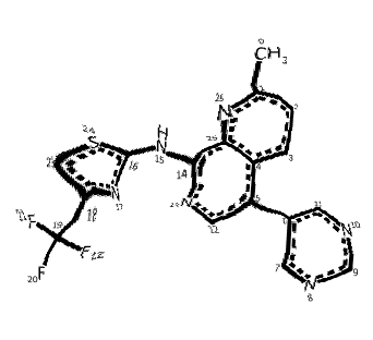 Cc1ccc2c(-c3cncnc3)cnc(Nc3nc(C(F)(F)F)cs3)c2n1